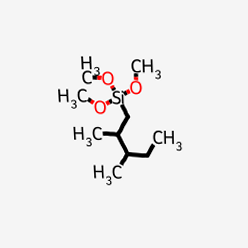 CCC(C)C(C)C[Si](OC)(OC)OC